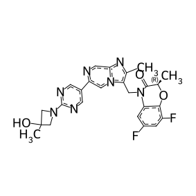 Cc1nc2cnc(-c3cnc(N4CC(C)(O)C4)nc3)cn2c1CN1C(=O)[C@@H](C)Oc2c(F)cc(F)cc21